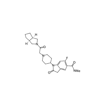 CNC(=O)c1cc2c(cc1F)N(C1CCN(CC(=O)N3C[C@H]4CCC[C@H]4C3)CC1)C(=O)C2